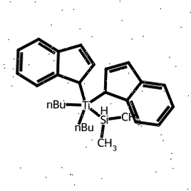 CCC[CH2][Ti]([CH2]CCC)([CH]1C=Cc2ccccc21)([CH]1C=Cc2ccccc21)[SiH](C)C